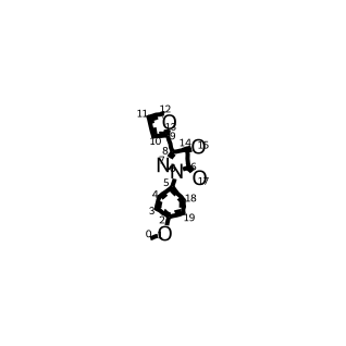 COc1ccc(N2N=C(c3ccco3)C(=O)C2=O)cc1